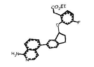 CCOC(=O)Cc1ccc(F)cc1OC1CCc2ccc(-c3cccc4c(N)nccc34)cc21